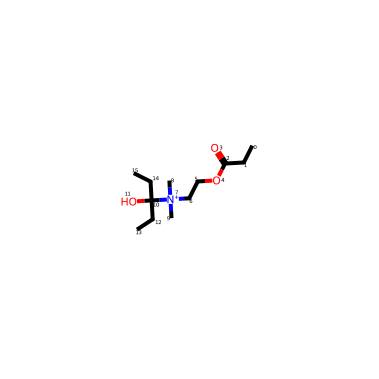 CCC(=O)OCC[N+](C)(C)C(O)(CC)CC